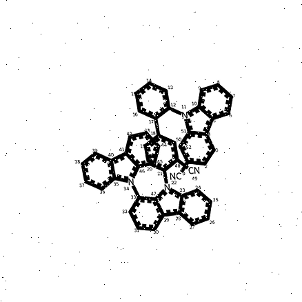 N#Cc1ccc2c3ccccc3n(-c3ccccc3-c3ccc(-n4c5ccccc5c5cccc(-n6c7ccccc7c7ccccc76)c54)c(C#N)c3)c2c1